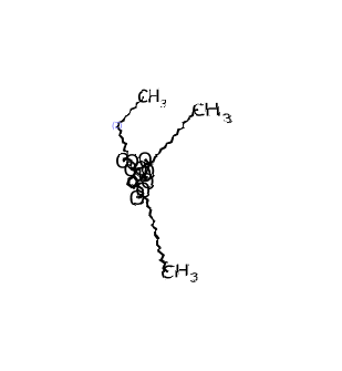 CCCCCCCCC=CCCCCCCCC(=O)OOC(=O)c1c(OC(=O)CCCCCCCC=CCCCCCCCC)cccc1C(=O)OOC(=O)CCCCCCC/C=C\CCCCCCCC